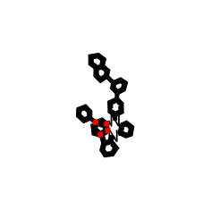 c1ccc(-c2cccc(N(c3ccc(-c4cccc(-c5ccc6ccccc6c5)c4)cc3)c3ccccc3-n3c4ccccc4c4ccccc43)c2)cc1